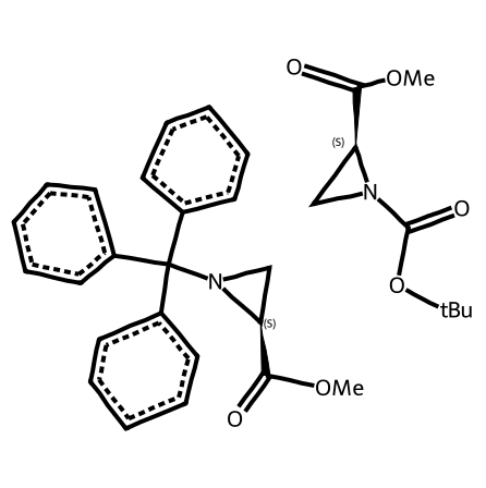 COC(=O)[C@@H]1CN1C(=O)OC(C)(C)C.COC(=O)[C@@H]1CN1C(c1ccccc1)(c1ccccc1)c1ccccc1